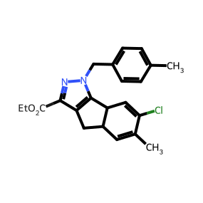 CCOC(=O)c1nn(Cc2ccc(C)cc2)c2c1CC1C=C(C)C(Cl)=CC21